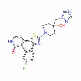 O=c1[nH]ccc2c3sc(N4CCC(O)(Cn5cncn5)CC4)nc3c3ccc(F)cc3c12